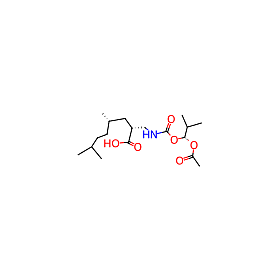 CC(=O)O[C@H](OC(=O)NC[C@@H](C[C@@H](C)CCC(C)C)C(=O)O)C(C)C